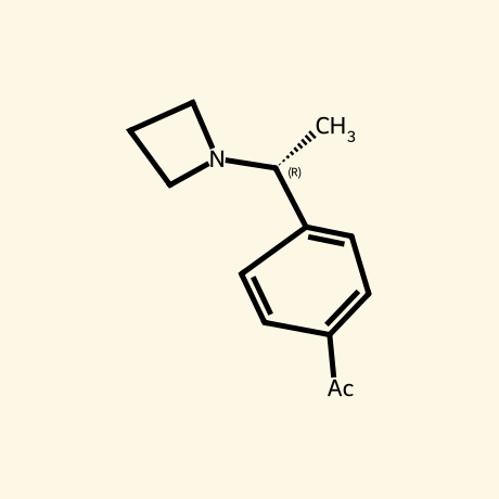 CC(=O)c1ccc([C@@H](C)N2CCC2)cc1